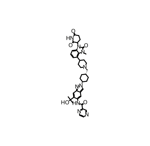 Cn1c(=O)n(C2CCC(=O)NC2=O)c2cccc(C3CCN(C[C@H]4CC[C@H](n5cc6cc(NC(=O)c7cnccn7)c(C(C)(C)O)cc6n5)CC4)CC3)c21